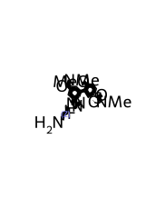 CNC(=O)c1cc(-c2cc(S(=O)(=O)NC)ccc2OC)c2nnn(C/C(F)=C/CN)c2c1